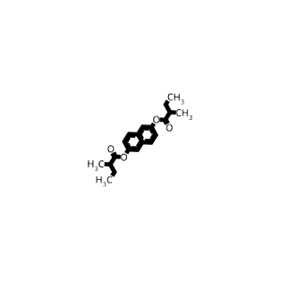 CCC(C)C(=O)Oc1ccc2cc(OC(=O)C(C)CC)ccc2c1